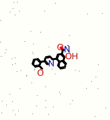 CN(C)C(=O)c1cc(-c2ccc(-c3ccccc3C=O)cn2)c2ccccc2c1O